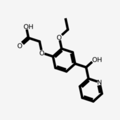 CCOc1cc(C(O)c2ccccn2)ccc1OCC(=O)O